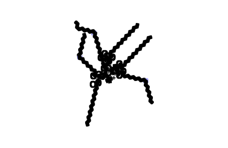 CCCCCCCC/C=C\CCCCCCCC(=O)O[C@@H](COC(=O)CCCCCCCCCCCCCCC)CC(C[N+](C)(C)C)OP(=O)(OC(C[C@H](COC(=O)CCCCCCCCCCCCCCC)OC(=O)CCCCCCC/C=C\CCCCCCCC)C[N+](C)(C)C)OC(C[C@H](COC(=O)CCCCCCCCCCCCCCC)OC(=O)CCCCCCC/C=C\CCCCCCCC)C[N+](C)(C)C